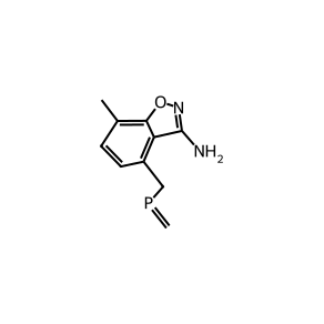 C=PCc1ccc(C)c2onc(N)c12